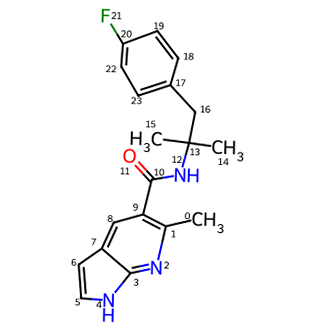 Cc1nc2[nH]ccc2cc1C(=O)NC(C)(C)Cc1ccc(F)cc1